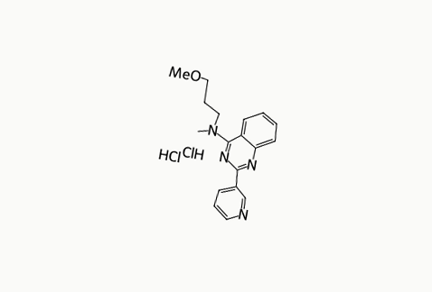 COCCCN(C)c1nc(-c2cccnc2)nc2ccccc12.Cl.Cl